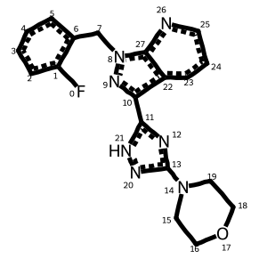 Fc1ccccc1Cn1nc(-c2nc(N3CCOCC3)n[nH]2)c2cccnc21